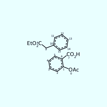 CC(=O)Oc1ccccc1C(=O)O.CCOC(=O)Cc1ccccc1